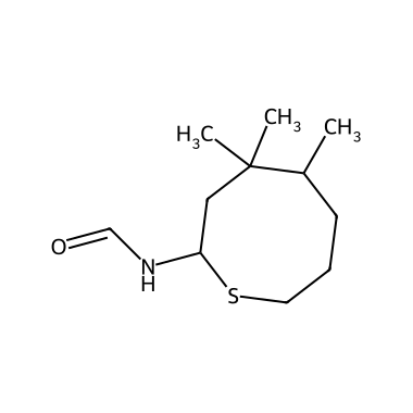 CC1CCCSC(NC=O)CC1(C)C